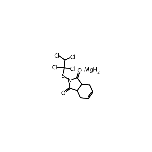 O=C1C2CC=CCC2C(=O)N1SC(Cl)(Cl)C(Cl)Cl.[MgH2]